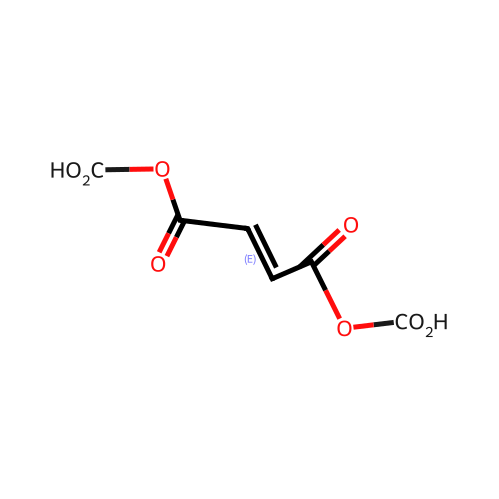 O=C(O)OC(=O)/C=C/C(=O)OC(=O)O